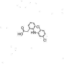 O=C(O)Cc1ccccc1Nc1cc(Cl)ccc1Cl